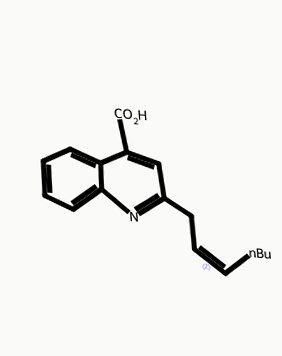 CCCC/C=C\Cc1cc(C(=O)O)c2ccccc2n1